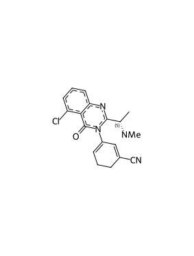 CN[C@@H](C)c1nc2cccc(Cl)c2c(=O)n1C1=CCCC(C#N)=C1